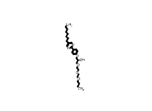 CCCCCCCCc1cnc(-c2ccc(OC[C@@H](O)COCCOCCOCCCC)cc2)nc1